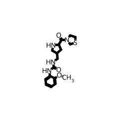 COc1ccccc1NC(=O)NCC1CNC(C(=O)N2CCSC2)C1